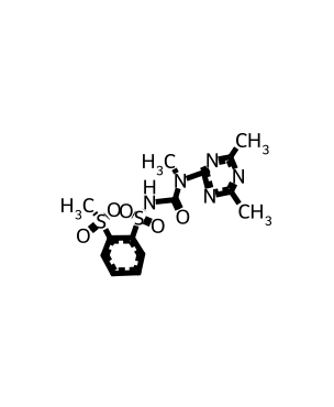 Cc1nc(C)nc(N(C)C(=O)NS(=O)(=O)c2ccccc2S(C)(=O)=O)n1